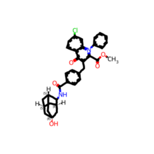 COC(=O)c1c(Cc2ccc(C(=O)NC3[C@@H]4C[C@@H]5C[C@H]3C[C@](O)(C5)C4)cc2)c(=O)c2ccc(Cl)cc2n1-c1ccccc1